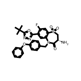 CC(C)(C)c1nnc(-c2cc3c(cc2F)S(=O)(=O)C[C@H](N)C(=O)N3Cc2ccc(Oc3ccccc3)cc2)o1